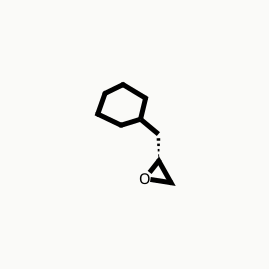 C1CCC(C[C@@H]2CO2)CC1